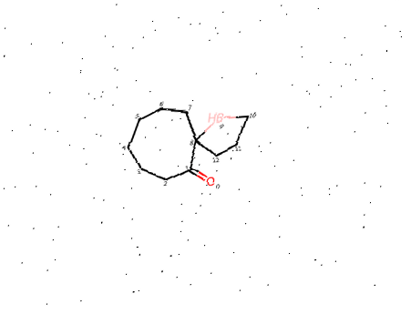 O=C1CCCCCCC12BCCC2